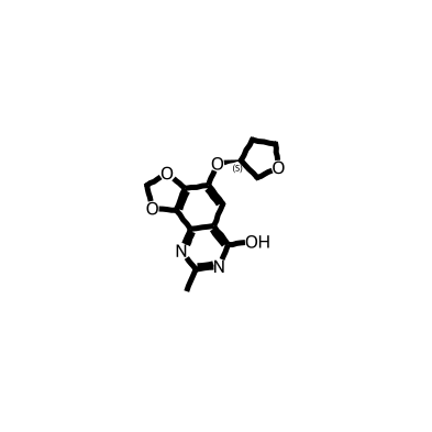 Cc1nc(O)c2cc(O[C@H]3CCOC3)c3c(c2n1)OCO3